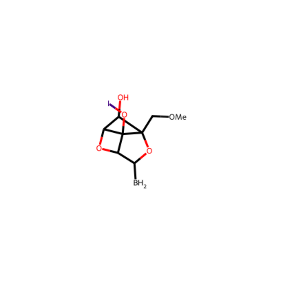 BC1OC2(COC)C(O)C3OC1C32OI